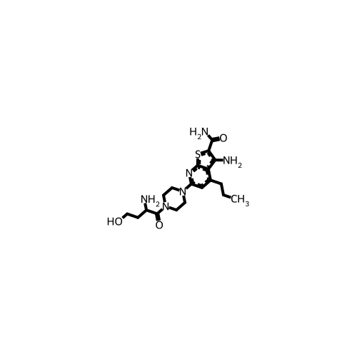 CCCc1cc(N2CCN(C(=O)C(N)CCO)CC2)nc2sc(C(N)=O)c(N)c12